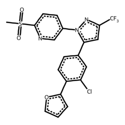 CS(=O)(=O)c1ccc(-n2nc(C(F)(F)F)cc2-c2ccc(-c3ccco3)c(Cl)c2)cn1